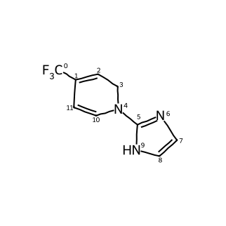 FC(F)(F)C1=CCN(c2ncc[nH]2)C=C1